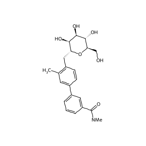 CNC(=O)c1cccc(-c2ccc(C[C@H]3O[C@H](CO)[C@@H](O)[C@H](O)[C@@H]3O)c(C)c2)c1